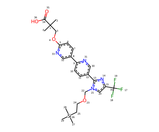 CC(C)(COc1ccc(-c2ccc(-c3nc(C(F)(F)F)cn3COCC[Si](C)(C)C)cn2)cn1)C(=O)O